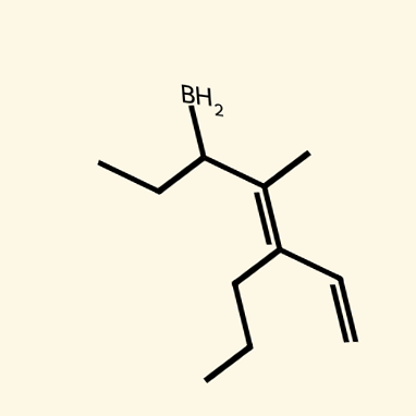 BC(CC)/C(C)=C(/C=C)CCC